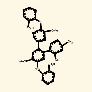 COc1cc(-c2cc(OC)c(Nc3ccccc3C(=O)O)cc2-c2ccc(C)cc2N)ccc1Nc1ccccc1C(=O)O